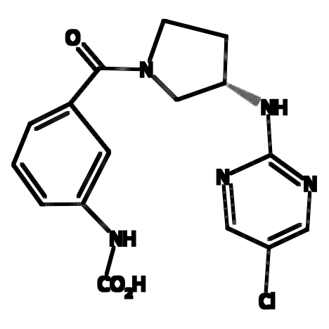 O=C(O)Nc1cccc(C(=O)N2CC[C@H](Nc3ncc(Cl)cn3)C2)c1